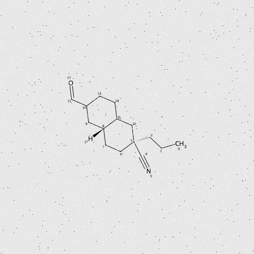 CCC[C@]1(C#N)CC[C@@H]2CC(C=O)CCC2C1